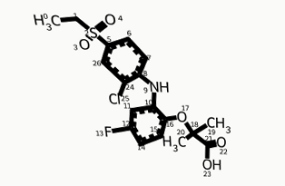 CCS(=O)(=O)c1ccc(Nc2cc(F)ccc2OC(C)(C)C(=O)O)c(Cl)c1